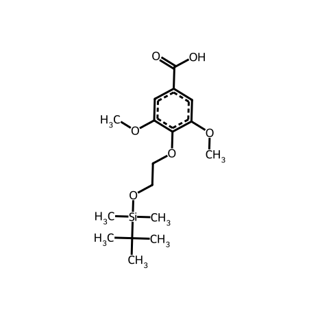 COc1cc(C(=O)O)cc(OC)c1OCCO[Si](C)(C)C(C)(C)C